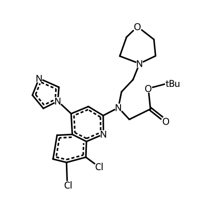 CC(C)(C)OC(=O)CN(CCN1CCOCC1)c1cc(-n2ccnc2)c2ccc(Cl)c(Cl)c2n1